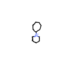 C1CCCC([N+]2CCCCC2)CC1